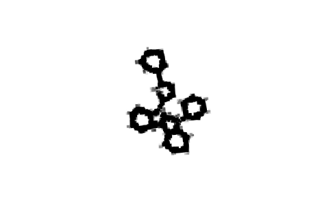 c1ccc(-c2ccc(-n3c4ccccc4c4c5ccccc5n(-c5ccccc5)c43)o2)cc1